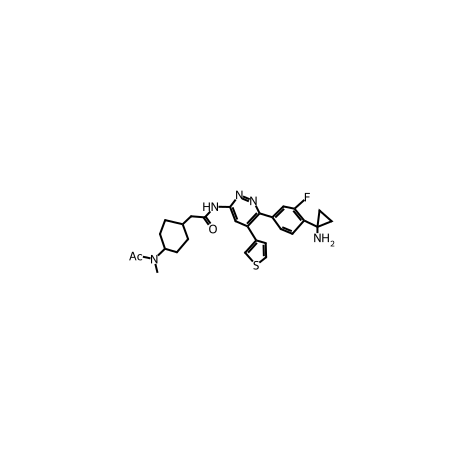 CC(=O)N(C)C1CCC(CC(=O)Nc2cc(-c3ccsc3)c(-c3ccc(C4(N)CC4)c(F)c3)nn2)CC1